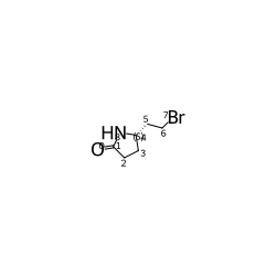 O=C1CC[C@@H](CCBr)N1